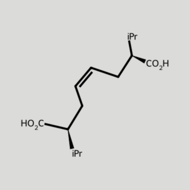 CC(C)[C@H](C/C=C\C[C@H](C(=O)O)C(C)C)C(=O)O